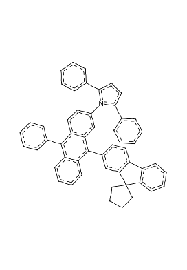 c1ccc(-c2c3ccccc3c(-c3ccc4c(c3)C3(CCCC3)c3ccccc3-4)c3cc(-n4c(-c5ccccc5)ccc4-c4ccccc4)ccc23)cc1